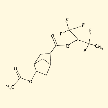 CC(=O)OC1CC2CC1CC2C(=O)OC(C(C)(F)F)C(F)(F)F